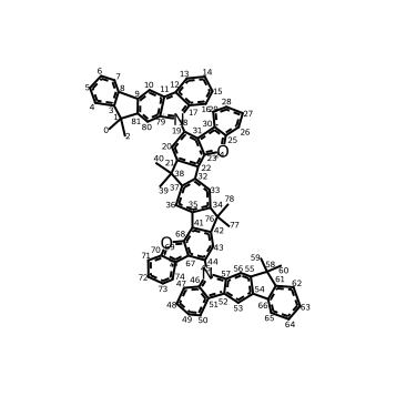 CC1(C)c2ccccc2-c2cc3c4ccccc4n(-c4cc5c(c6oc7ccccc7c46)-c4cc6c(cc4C5(C)C)-c4c(cc(-n5c7ccccc7c7cc8c(cc75)C(C)(C)c5ccccc5-8)c5c4oc4ccccc45)C6(C)C)c3cc21